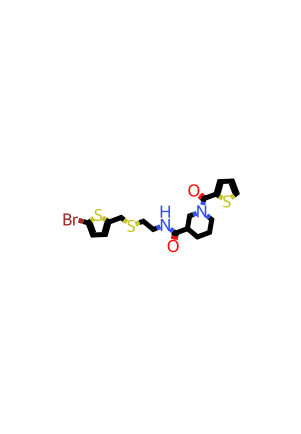 O=C(NCCSCc1ccc(Br)s1)C1CCCN(C(=O)c2cccs2)C1